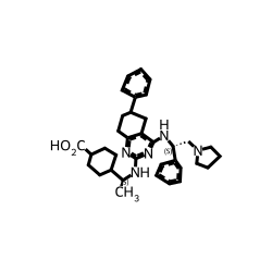 C[C@H](Nc1nc2c(c(N[C@H](CN3CCCC3)c3ccccc3)n1)CC(c1ccccc1)CC2)C1CCC(C(=O)O)CC1